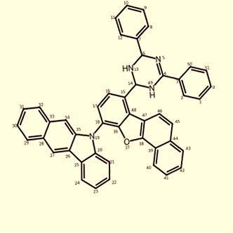 c1ccc(C2=NC(c3ccccc3)NC(c3ccc(-n4c5ccccc5c5cc6ccccc6cc54)c4oc5c6ccccc6ccc5c34)N2)cc1